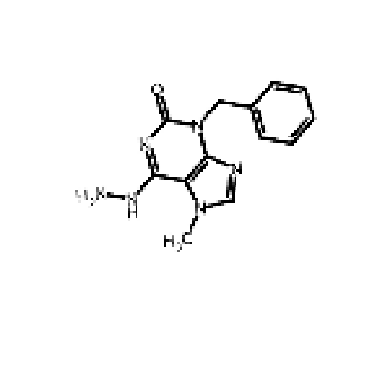 Cn1cnc2c1c(NN)nc(=O)n2Cc1ccccc1